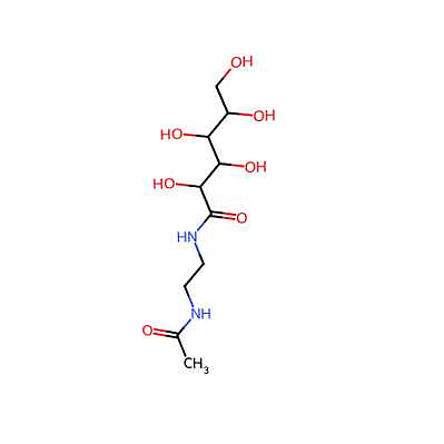 CC(=O)NCCNC(=O)C(O)C(O)C(O)C(O)CO